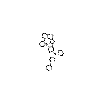 c1ccc(-c2ccc(N(c3ccccc3)c3ccc4c(c3)c3sc5ccc6cccc7c8ccccc8n4c3c5c67)cc2)cc1